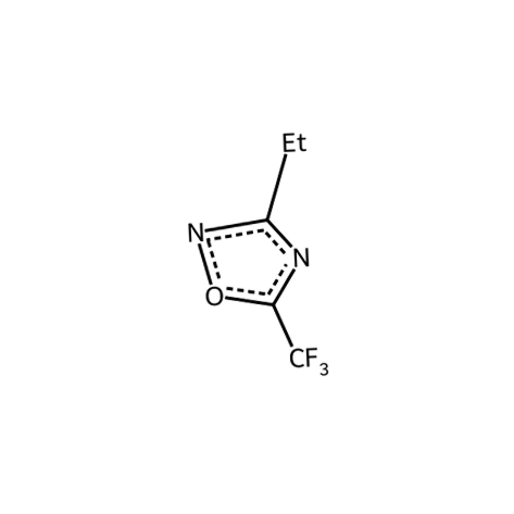 [CH2]Cc1noc(C(F)(F)F)n1